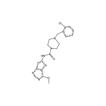 COc1ncnc2sc(NC(=O)N3CCN(Cc4ccccc4Cl)CC3)nc12